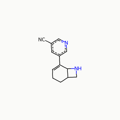 N#Cc1cncc(C2=CCCC3CNC23)c1